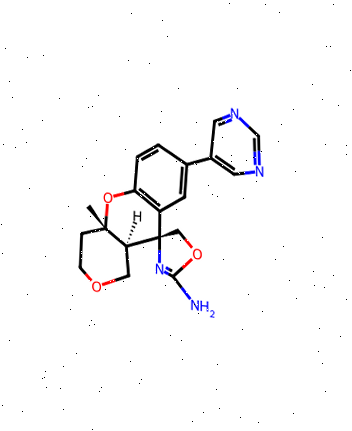 C[C@]12CCOC[C@@H]1[C@]1(COC(N)=N1)c1cc(-c3cncnc3)ccc1O2